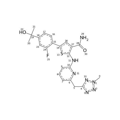 Cn1nnc(Cc2cccc(Nc3sc(-c4ccc(C(C)(C)O)cc4F)cc3C(N)=O)n2)n1